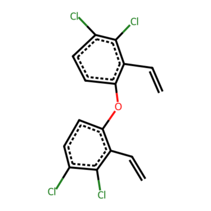 C=Cc1c(Oc2ccc(Cl)c(Cl)c2C=C)ccc(Cl)c1Cl